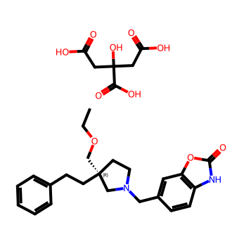 CCOC[C@]1(CCc2ccccc2)CCN(Cc2ccc3[nH]c(=O)oc3c2)C1.O=C(O)CC(O)(CC(=O)O)C(=O)O